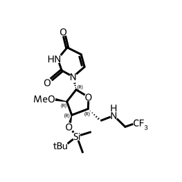 CO[C@@H]1[C@H](O[Si](C)(C)C(C)(C)C)[C@@H](CNCC(F)(F)F)O[C@H]1n1ccc(=O)[nH]c1=O